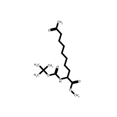 COC(=O)C(CCCCCCCC(C)=O)NC(=O)OC(C)(C)C